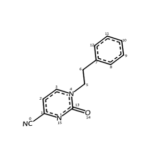 N#Cc1ccn(CCc2ccccc2)c(=O)n1